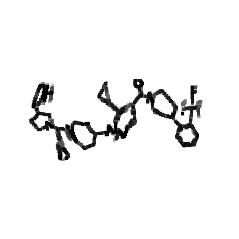 O=C(c1cnn(C2CCN(C(=O)N3CC[C@@H](O)C3)CC2)c1C1CC1)N1CC[C@@H](c2ccccc2C(F)(F)F)C1